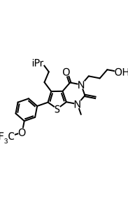 C=C1N(CCCO)C(=O)c2c(sc(-c3cccc(OC(F)(F)F)c3)c2CCC(C)C)N1C